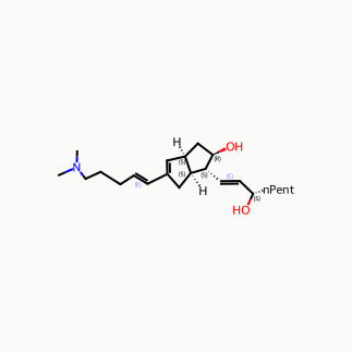 CCCCC[C@H](O)/C=C/[C@@H]1[C@H]2CC(/C=C/CCCN(C)C)=C[C@H]2C[C@H]1O